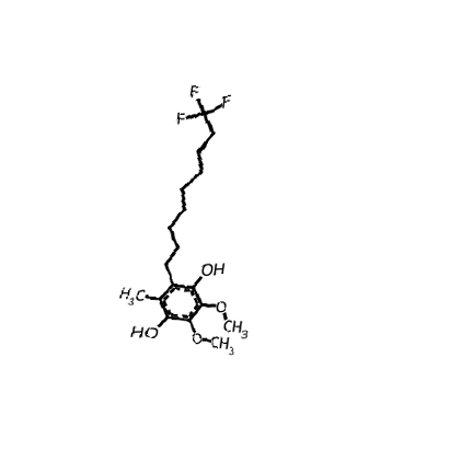 COc1c(O)c(C)c(CCCCCCCCC(F)(F)F)c(O)c1OC